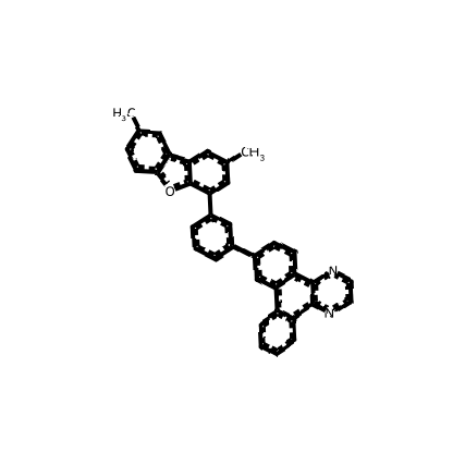 Cc1ccc2oc3c(-c4cccc(-c5ccc6c(c5)c5ccccc5c5nccnc65)c4)cc(C)cc3c2c1